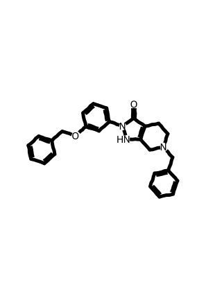 O=c1c2c([nH]n1-c1cccc(OCc3ccccc3)c1)CN(Cc1ccccc1)CC2